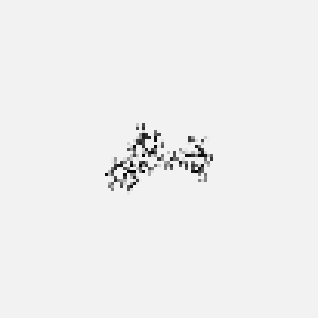 Cc1cccc2c1C=C[CH]2[Sc]([CH2]CCCCC[C]([Si](C)(C)C)[Si](C)(C)C)[CH]1C=Cc2c(C)ccc(C)c21